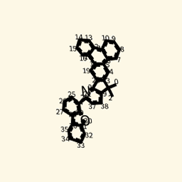 CC1(C)c2cc3c4ccccc4c4ccccc4c3cc2-c2nc(-c3cccc4c3oc3ccccc34)ccc21